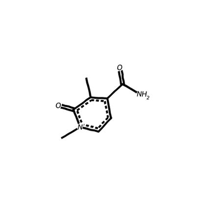 Cc1c(C(N)=O)ccn(C)c1=O